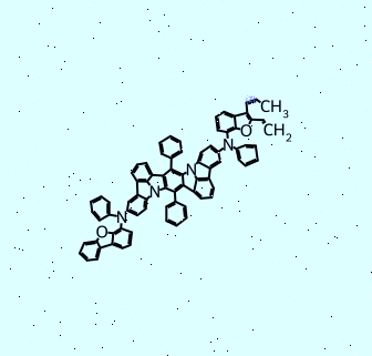 C=Cc1oc2c(N(c3ccccc3)c3ccc4c(c3)c3cccc5c6c(-c7ccccc7)c7c(c(-c8ccccc8)c6n4c35)c3cccc4c5cc(N(c6ccccc6)c6cccc8c6oc6ccccc68)ccc5n7c43)cccc2c1/C=C\C